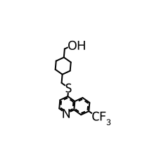 OCC1CCC(CSc2ccnc3cc(C(F)(F)F)ccc23)CC1